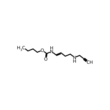 C#CCNCCC=CNC(=O)OCCCC